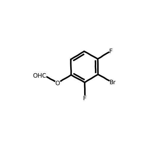 O=COc1ccc(F)c(Br)c1F